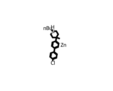 CCCC[SiH]1CCC(C)(c2ccc(-c3ccc(Cl)cc3)cc2)CC1.[Zn]